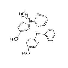 Cl.Cl.Oc1ccc([Te]c2ccccc2)cc1.Oc1ccc([Te]c2ccccc2)cc1